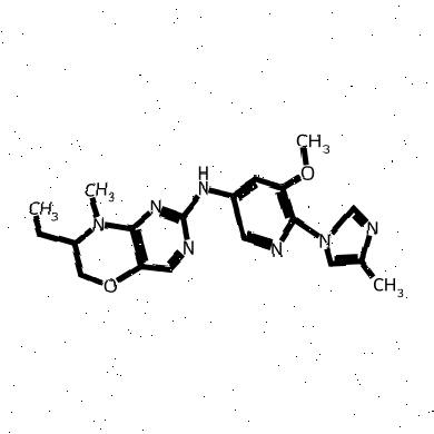 CCC1COc2cnc(Nc3cnc(-n4cnc(C)c4)c(OC)c3)nc2N1C